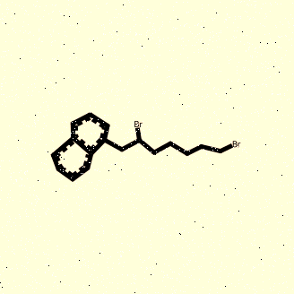 BrCCCCCC(Br)Cc1cccc2ccccc12